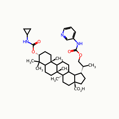 CC(COC(=O)Nc1cccnc1)[C@@H]1CC[C@]2(C(=O)O)CC[C@]3(C)C(CCC4[C@@]5(C)CC[C@@H](OC(=O)NC6CC6)C(C)(C)C5CC[C@]43C)C12